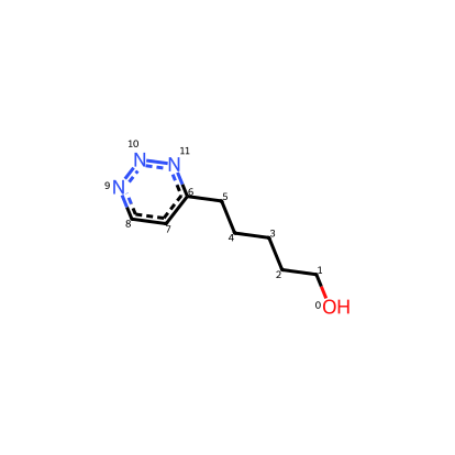 OCCCCCc1ccnnn1